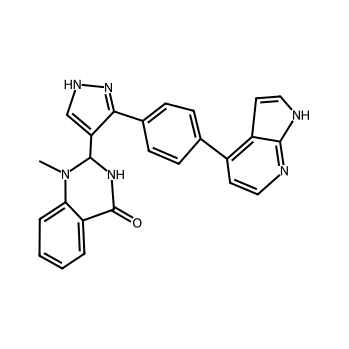 CN1c2ccccc2C(=O)NC1c1c[nH]nc1-c1ccc(-c2ccnc3[nH]ccc23)cc1